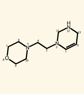 C1=CN(CCN2CCOCC2)CNC1